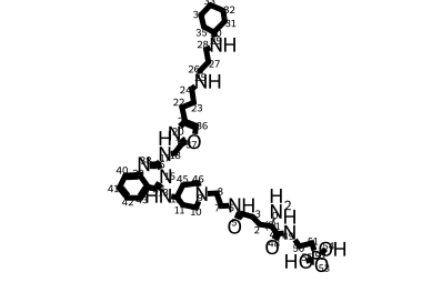 N[C@@H](CCC(=O)NCCN1CCC(Nc2nc(NCc3nc(CCCNCCCNC4CCCCC4)co3)nc3ccccc23)CC1)C(=O)NCCP(=O)(O)O